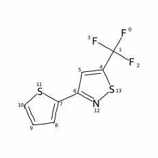 FC(F)(F)c1cc(-c2cc[c]s2)ns1